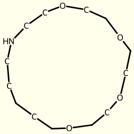 C1CCNCCOCCOCCOCCOCC1